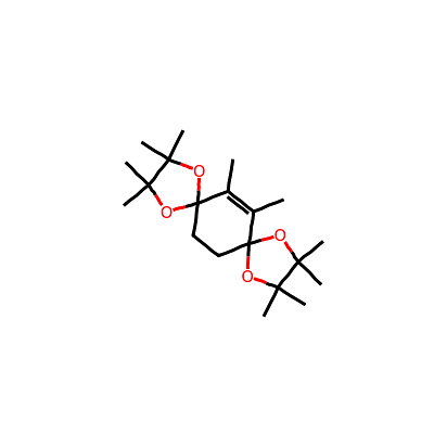 CC1=C(C)C2(CCC13OC(C)(C)C(C)(C)O3)OC(C)(C)C(C)(C)O2